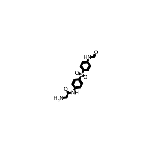 NCC(=O)Nc1ccc(S(=O)(=O)c2ccc(NC=O)cc2)cc1